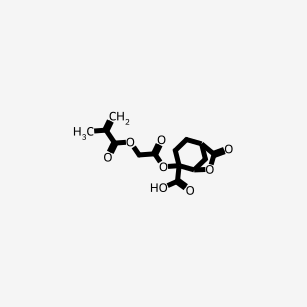 C=C(C)C(=O)OCC(=O)OC1(C(=O)O)CCC2CC1OC2=O